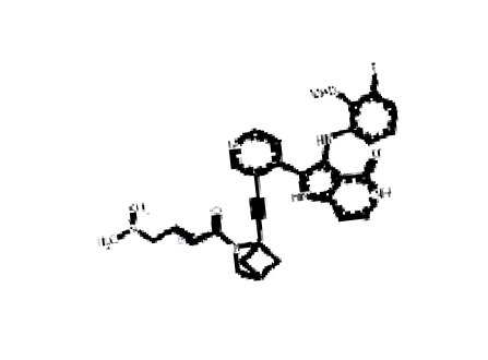 COc1c(F)cccc1Nc1c(-c2ccncc2C#CC23CC(CN2C(=O)/C=C/CN(C)C)C3)[nH]c2cc[nH]c(=O)c12